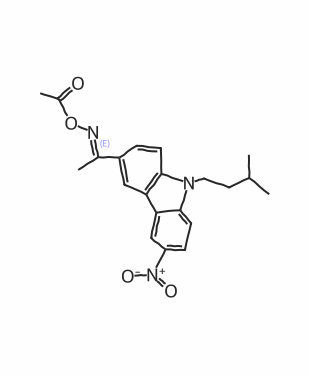 CC(=O)O/N=C(\C)c1ccc2c(c1)c1cc([N+](=O)[O-])ccc1n2CCC(C)C